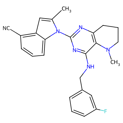 Cc1cc2c(C#N)cccc2n1-c1nc2c(c(NCc3cccc(F)c3)n1)N(C)CCC2